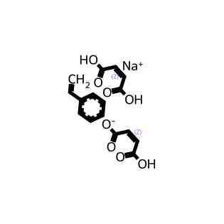 C=Cc1ccccc1.O=C(O)/C=C\C(=O)O.O=C([O-])/C=C\C(=O)O.[Na+]